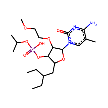 CCC(CC)CC1OC(n2cc(C)c(N)nc2=O)C(OCCOC)C1OP(=O)(O)OC(C)C